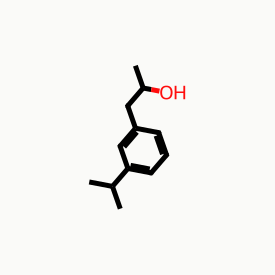 CC(O)Cc1cccc(C(C)C)c1